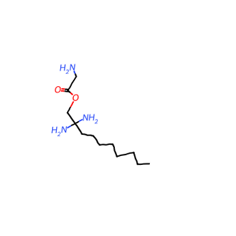 CCCCCCCCC(N)(N)COC(=O)CN